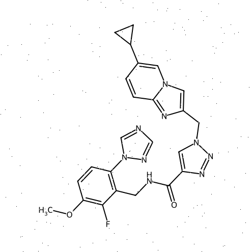 COc1ccc(-n2cncn2)c(CNC(=O)c2cn(Cc3cn4cc(C5CC5)ccc4n3)nn2)c1F